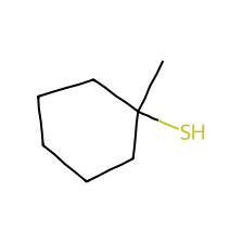 CC1(S)CCCCC1